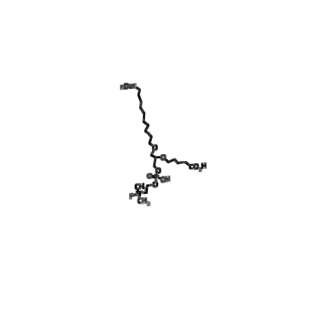 CCCCCCCCCCCCCCCCCCCCOCC(COP(=O)(O)OCC[N+](C)(C)F)OCCCCC(=O)O